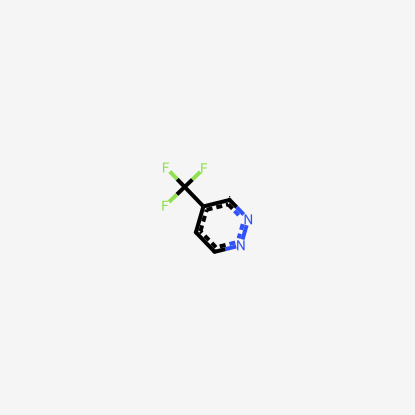 FC(F)(F)c1[c]nncc1